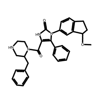 COC1CCc2ccc(-n3c(-c4ccccc4)c(C(=O)N4CCNCC4Cc4ccccc4)[nH]c3=O)cc21